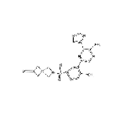 Cc1ccc(S(=O)(=O)N2CC3(CC(=O)C3)C2)cc1-c1cnc(N)c(-n2cncn2)n1